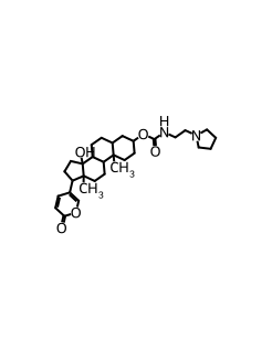 CC12CCC(OC(=O)NCCN3CCCC3)CC1CCC1C2CCC2(C)C(c3ccc(=O)oc3)CCC12O